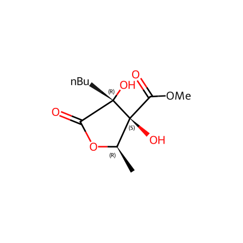 CCCC[C@]1(O)C(=O)O[C@H](C)[C@@]1(O)C(=O)OC